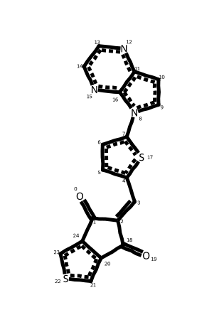 O=C1C(=Cc2ccc(-n3ccc4nccnc43)s2)C(=O)c2cscc21